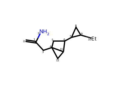 C=C(N)CC12CC(C3CC3CC)C1C2